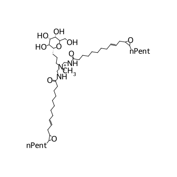 CCCCCC1OC1CC=CCCCCCCCC(=O)NC[N+](C)(CCC[C@H]1OC(CO)[C@@H](O)[C@@H](O)C1O)CNC(=O)CCCCCCCC=CCC1OC1CCCCC